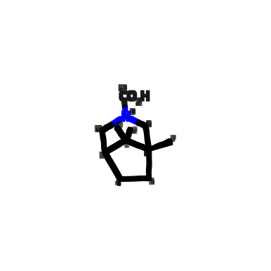 CC1(C)C2CC[C@@]1(C)CN(C(=O)O)C2